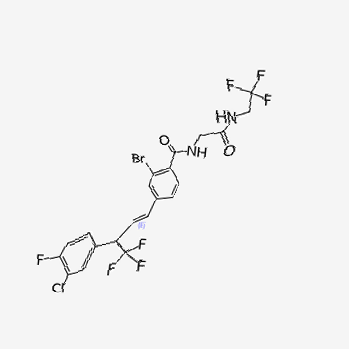 O=C(CNC(=O)c1ccc(/C=C/C(c2ccc(F)c(Cl)c2)C(F)(F)F)cc1Br)NCC(F)(F)F